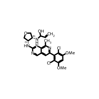 C=CC(O)N[C@H]1COC[C@H]1Nc1ncc2cc(-c3c(Cl)c(OC)cc(OC)c3Cl)nc(C)c2n1